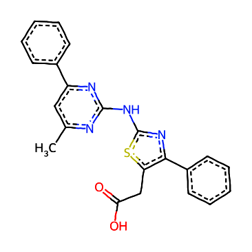 Cc1cc(-c2ccccc2)nc(Nc2nc(-c3ccccc3)c(CC(=O)O)s2)n1